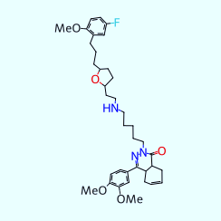 COc1ccc(F)cc1CCCC1CCC(CCNCCCCCN2N=C(c3ccc(OC)c(OC)c3)C3CC=CCC3C2=O)O1